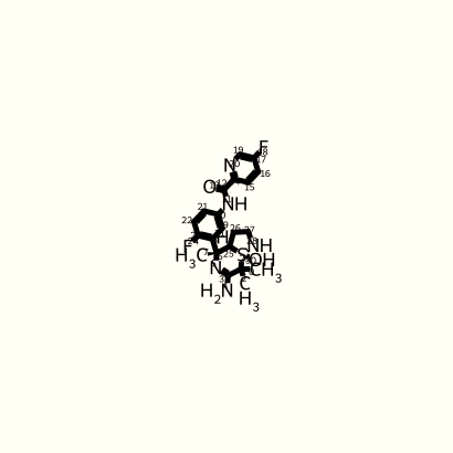 CC1(C)C(N)=N[C@](C)(c2cc(NC(=O)c3ccc(F)cn3)ccc2F)[C@@H]2CCNS21O